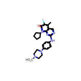 Cc1c(F)c(=O)n(C2CCCC2)c2nc(Nc3ccc(N4CCN(C(=O)O)CC4)cc3)ncc12